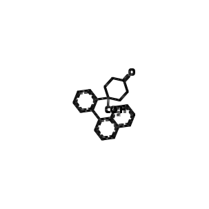 O=C1CCC(C(=O)O)(c2ccccc2-c2cccc3ccccc23)CC1